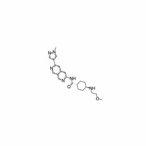 COCCN[C@H]1CC[C@H](C(=O)Nc2cc3cc(-c4cnn(C)c4)ncc3cn2)CC1